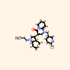 N#CCCn1cc(-c2c[n+](Cc3ccc(Cl)nc3)c3ccccn3c2=O)c2ccccc21